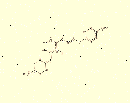 COc1ccc(CC=NOc2ncnc(OC3CCN(C(=O)O)CC3)c2C)cc1